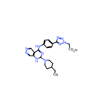 N#CCC1CCN(C2N=C(Nc3ccc(-c4nnn(CC(=O)O)n4)cc3)c3cnncc3N2)CC1